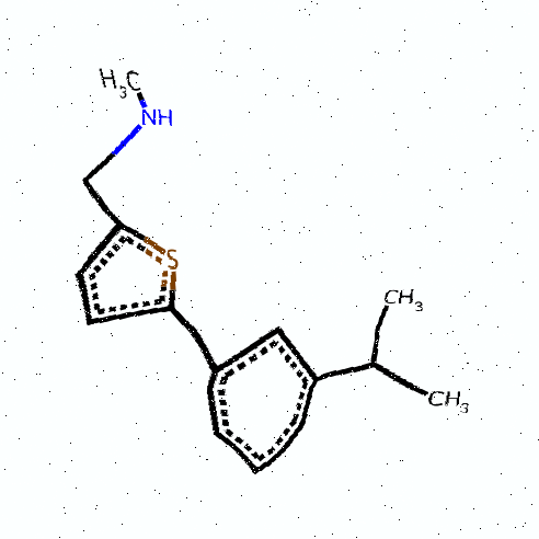 CNCc1ccc(-c2cccc(C(C)C)c2)s1